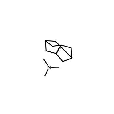 C1C2CC34CC1CC3(C2)C4.CN(C)C